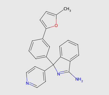 Cc1ccc(-c2cccc(C3(c4ccncc4)N=C(N)c4ccccc43)c2)o1